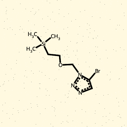 C[Si](C)(C)CCOCn1nncc1Br